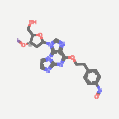 O=Nc1ccc(CCOc2nc3nccn3c3c2ncn3C2C[C@H](OI)C(CO)O2)cc1